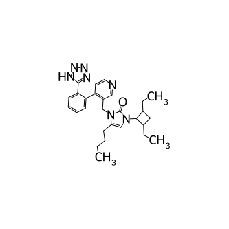 CCCCc1cn(C2C(CC)CC2CC)c(=O)n1Cc1cnccc1-c1ccccc1-c1nnn[nH]1